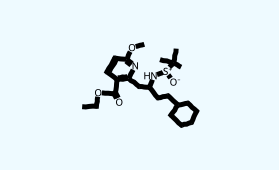 CCOC(=O)c1ccc(OC)nc1CC(CCC1CCCCC1)N[S+]([O-])C(C)(C)C